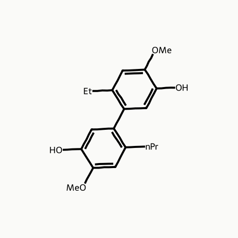 CCCc1cc(OC)c(O)cc1-c1cc(O)c(OC)cc1CC